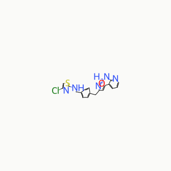 Nc1ncccc1-c1cc(Cc2ccc(CNc3nc(Cl)cs3)cc2)no1